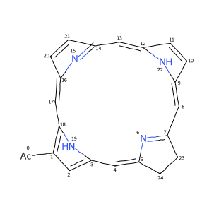 CC(=O)c1cc2cc3nc(cc4ccc(cc5nc(cc1[nH]2)C=C5)[nH]4)CC3